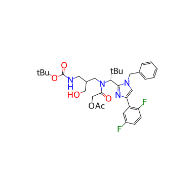 CC(=O)OCC(=O)N(CC(CO)CNC(=O)OC(C)(C)C)[C@@H](c1nc(-c2cc(F)ccc2F)cn1Cc1ccccc1)C(C)(C)C